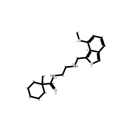 COc1cccc2coc(CNCCNC(=O)C3(C)CCCCC3)c12